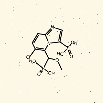 COC(c1c(Cl)ccc2ncc(P(=O)(O)O)n12)P(=O)(O)O